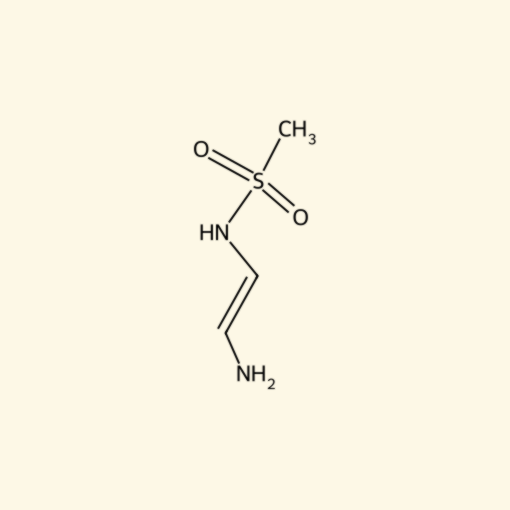 CS(=O)(=O)NC=CN